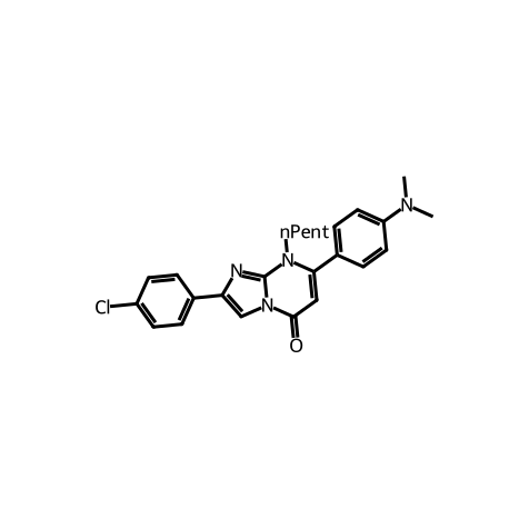 CCCCCn1c(-c2ccc(N(C)C)cc2)cc(=O)n2cc(-c3ccc(Cl)cc3)nc12